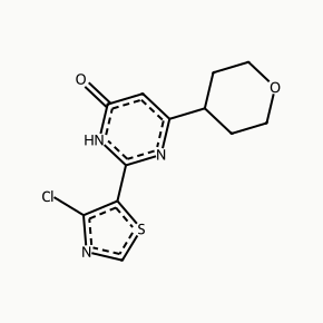 O=c1cc(C2CCOCC2)nc(-c2scnc2Cl)[nH]1